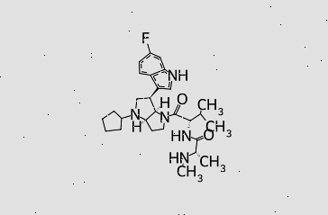 CN[C@@H](C)C(=O)N[C@H](C(=O)N1CC[C@@H]2[C@H]1[C@H](c1c[nH]c3cc(F)ccc13)CN2C1CCCC1)C(C)C